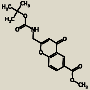 COC(=O)c1ccc2oc(CNC(=O)OC(C)(C)C)cc(=O)c2c1